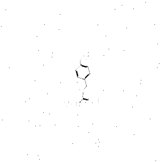 CNC(=N)NCc1ccc(OC)cc1